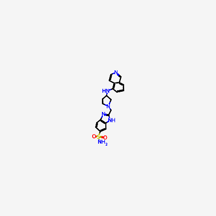 NS(=O)(=O)c1ccc2nc(CN3CC[C@@H](Nc4cccc5cnccc45)C3)[nH]c2c1